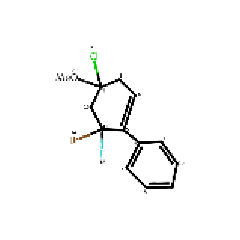 COC1(Cl)CC=C(c2ccccc2)C(F)(Br)C1